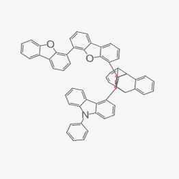 c1ccc(-n2c3ccccc3c3c(-c4ccc(-c5cccc6c5oc5c(-c7cccc8c7oc7ccccc78)cccc56)c5c4C4c6ccccc6C56c5cccc4c56)cccc32)cc1